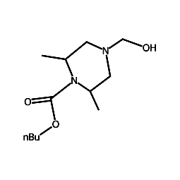 CCCCOC(=O)N1C(C)CN(CO)CC1C